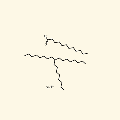 CCCCCCCCCCCC(=O)[O-].CCCCCCCCP(CCCCCCCC)CCCCCCCC.[SnH+]